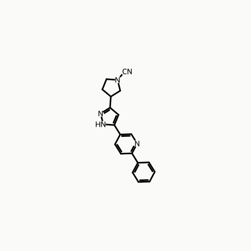 N#CN1CCC(c2cc(-c3ccc(-c4ccccc4)nc3)[nH]n2)C1